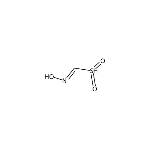 O=[SH](=O)C=NO